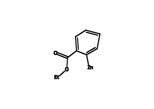 CCOC(=O)c1cccc[c]1[Zn]